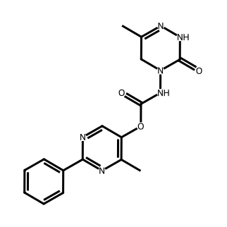 CC1=NNC(=O)N(NC(=O)Oc2cnc(-c3ccccc3)nc2C)C1